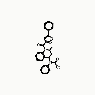 CCC(=O)N(c1ccccc1)C1CC(C)N(C(=O)c2cc(-c3ccccc3)no2)c2ccccc21